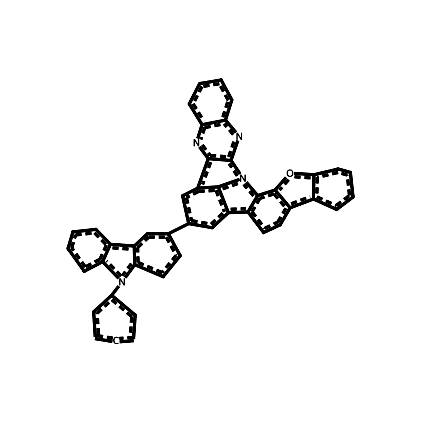 c1ccc(-n2c3ccccc3c3cc(-c4cc5c6ccc7c8ccccc8oc7c6n6c7nc8ccccc8nc7c(c4)c56)ccc32)cc1